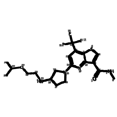 CNC(=O)c1csc2c(C(F)(F)F)cc(N3CCC(NCCOC(C)C)C3)nc12